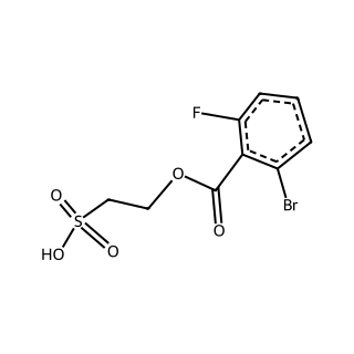 O=C(OCCS(=O)(=O)O)c1c(F)cccc1Br